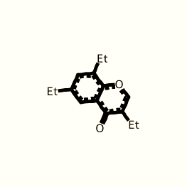 CCc1cc(CC)c2occ(CC)c(=O)c2c1